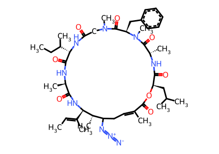 C/C=C(\C)[C@H]1NC(=O)[C@@H](C)NC(=O)[C@H](C(C)CC)NC(=O)CN(C)C(=O)[C@@H](Cc2ccccc2)N(C)C(=O)[C@H](C)NC(=O)[C@@H](CC(C)C)OC(=O)/C(C)=C/CC(N=[N+]=[N-])[C@@H]1C